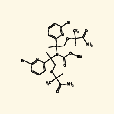 CC(C)(C)OC(=O)N(C(C)(COC(C)(C(N)=O)C(F)(F)F)c1cccc(Br)n1)C(C)(COC(C)(C(N)=O)C(F)(F)F)c1cccc(Br)n1